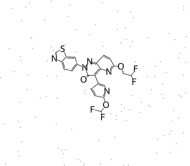 O=c1c(-c2ccc(OC(F)F)nc2)c2nc(OCC(F)F)ccc2nn1-c1ccc2ncsc2c1